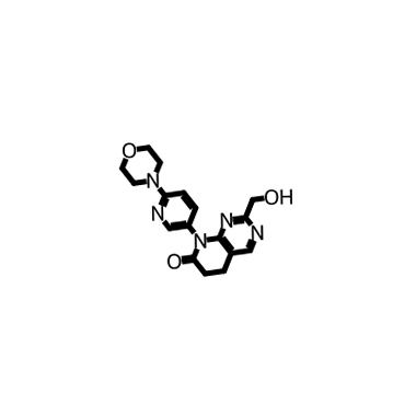 O=C1CCc2cnc(CO)nc2N1c1ccc(N2CCOCC2)nc1